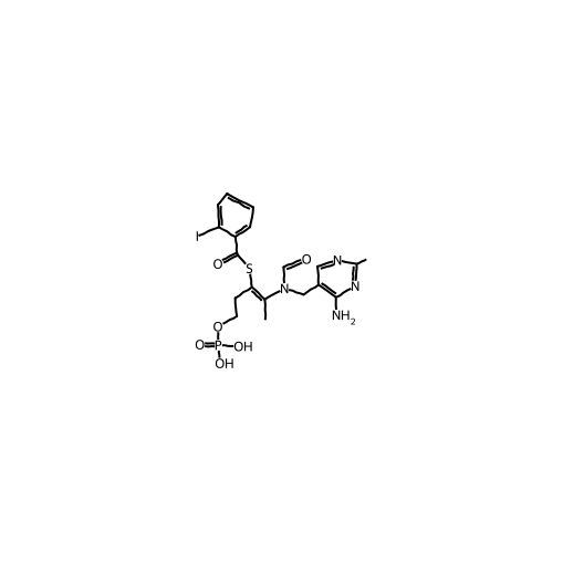 C/C(=C(\CCOP(=O)(O)O)SC(=O)c1ccccc1I)N(C=O)Cc1cnc(C)nc1N